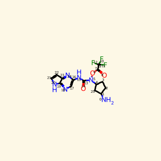 NC1CCC(N(OC(=O)C(F)(F)F)C(=O)Nc2cnc3[nH]ccc3n2)C1